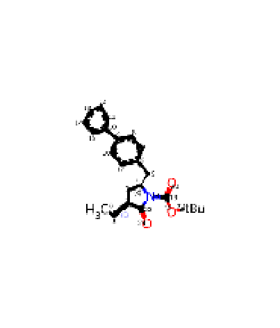 C/C=C1\C[C@@H](Cc2ccc(-c3ccccc3)cc2)N(C(=O)OC(C)(C)C)C1=O